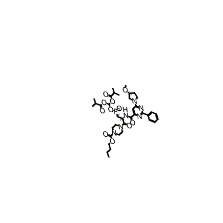 CCCCOC(=O)N1CCN(C(=O)[C@H](/C=[P+](\[O-])OC(OC(=O)C(C)C)OC(=O)C(C)C)NC(=O)c2cc(N3CC[C@H](OC)C3)nc(-c3ccccc3)n2)CC1